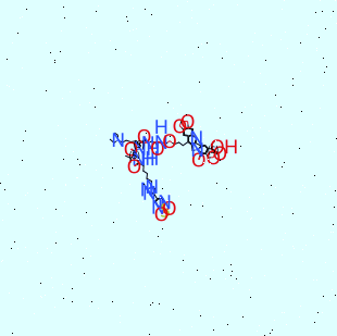 CCN(CC)CCCC[C@H](NC(=O)[C@@H](NC(=O)CCCCCn1cc(-c2cnc(S(C)(=O)=O)nc2)nn1)C(C)C)C(=O)NCC(=O)NCOCCCc1c2c(nc3cc4c(cc13)OCO4)-c1cc3c(c(=O)n1C2)COC(=O)[C@]3(O)CC